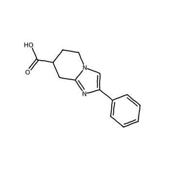 O=C(O)C1CCn2cc(-c3ccccc3)nc2C1